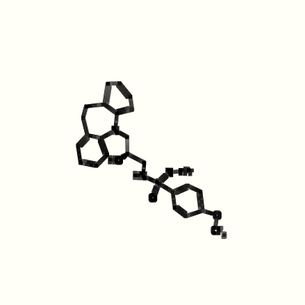 CCCN=S(=O)(NC[C@@H](O)CN1c2ccccc2CCc2ccccc21)c1ccc(OC(F)(F)F)cc1